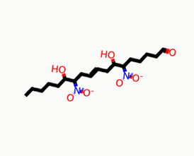 CCCCCC(O)C(CC=CCC(O)C(CCCCC=O)[N+](=O)[O-])[N+](=O)[O-]